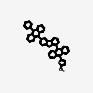 Cc1ccc(-c2c3ccccc3c(-c3cccc4c3sc3ccc(-c5c6ccccc6c(-c6ccccc6)c6ccccc56)cc34)c3ccccc23)s1